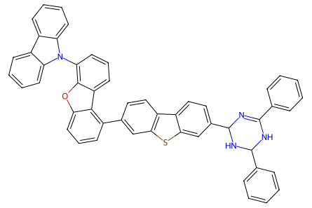 c1ccc(C2=NC(c3ccc4c(c3)sc3cc(-c5cccc6oc7c(-n8c9ccccc9c9ccccc98)cccc7c56)ccc34)NC(c3ccccc3)N2)cc1